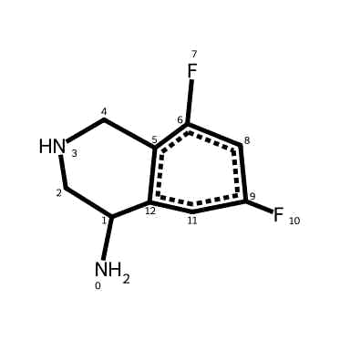 NC1CNCc2c(F)cc(F)cc21